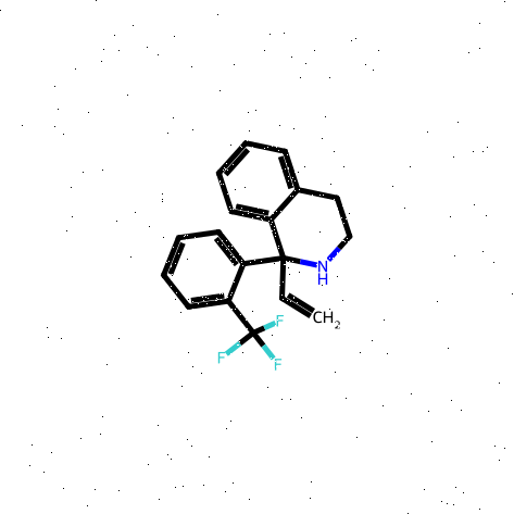 C=CC1(c2ccccc2C(F)(F)F)NCCc2ccccc21